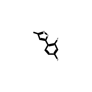 Cc1cc(-c2ccc(F)cc2F)sn1